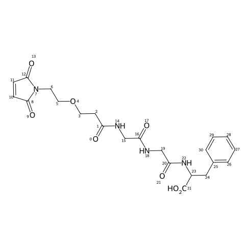 O=C(CCOCCN1C(=O)C=CC1=O)NCC(=O)NCC(=O)NC(Cc1ccccc1)C(=O)O